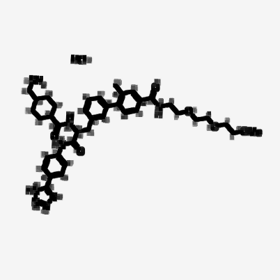 COCCOCCOCCNC(=O)c1ccc(-c2cccc(C[C@H](NC(=O)C3CCC(CN)CC3)C(=O)Nc3ccc(-c4nnn[nH]4)cc3)c2)c(C)c1.Cl